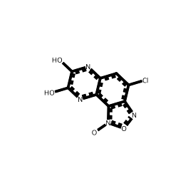 [O-][n+]1onc2c(Cl)cc3nc(O)c(O)nc3c21